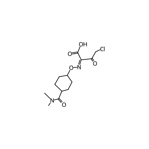 CN(C)C(=O)C1CCC(ON=C(C(=O)O)C(=O)CCl)CC1